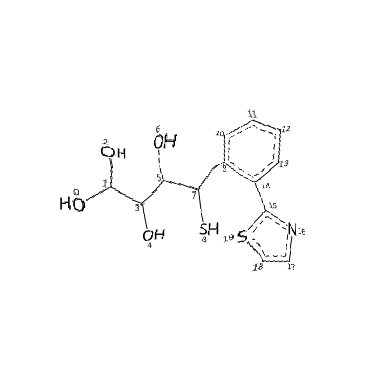 OC(O)C(O)C(O)C(S)c1ccccc1-c1nccs1